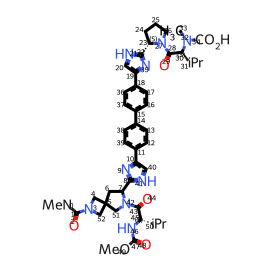 CNC(=O)N1CC2(CC(c3nc(-c4ccc(-c5ccc(-c6c[nH]c([C@@H]7CCCN7C(=O)[C@H](C(C)C)N(C)C(=O)O)n6)cc5)cc4)c[nH]3)N(C(=O)[C@@H](NC(=O)OC)C(C)C)C2)C1